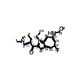 CC/C(=C\N(C)C)C(=O)c1cc2c(n1SI)=CC(NC=O)=CC(F)C=2